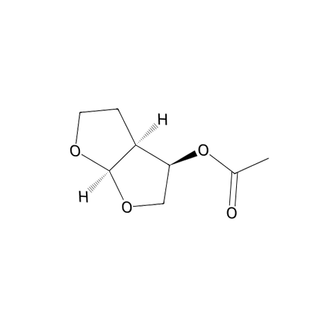 CC(=O)O[C@H]1CO[C@H]2OCC[C@H]21